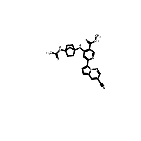 CNC(=O)c1cnc(-c2ccc3cc(C#N)cnn23)cc1NC12CCC(NC(C)=O)(CC1)C2